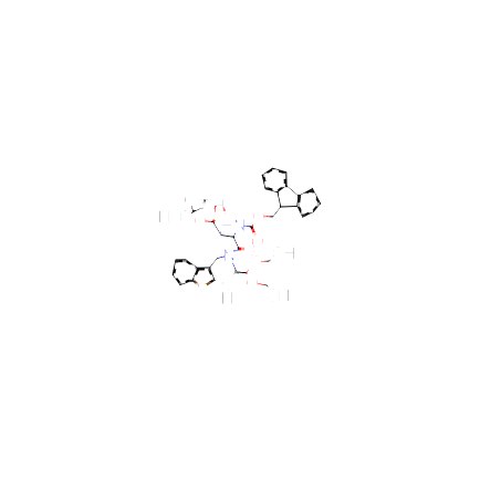 CCOC(OCC)[C@H](C)N(Cc1csc2ccccc12)C(=O)C(CC(=O)OC(C)(C)C)NC(=O)OCC1c2ccccc2-c2ccccc21